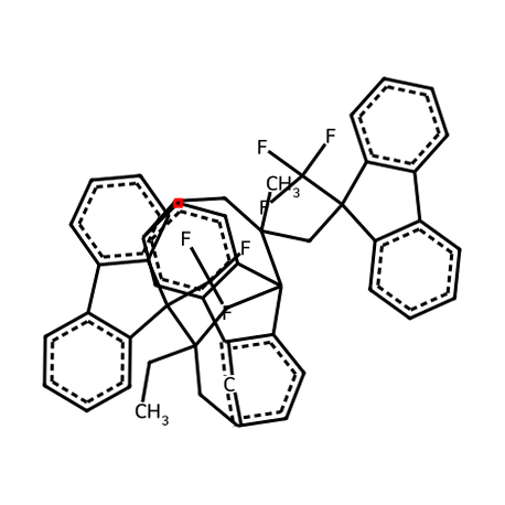 CCC1(C2(C(F)(F)F)c3ccccc3-c3ccccc32)Cc2ccc3c(c2)-c2cc4ccc2C3(C1)C(C)(CC1(C(F)(F)F)c2ccccc2-c2ccccc21)CC4